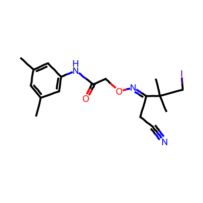 Cc1cc(C)cc(NC(=O)CO/N=C(\CC#N)C(C)(C)CI)c1